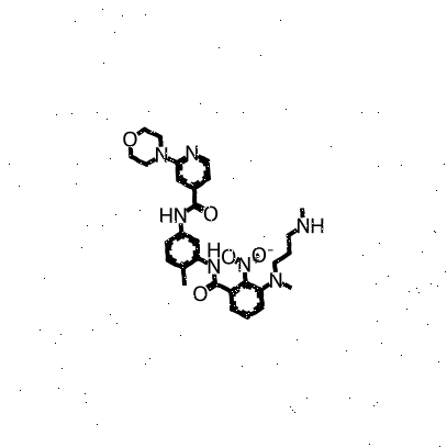 CNCCCN(C)c1cccc(C(=O)Nc2cc(NC(=O)c3ccnc(N4CCOCC4)c3)ccc2C)c1[N+](=O)[O-]